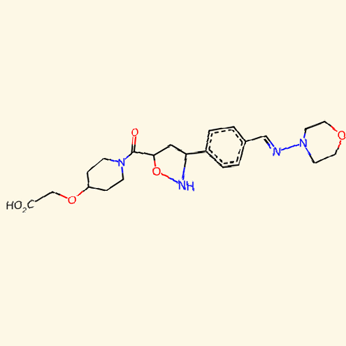 O=C(O)COC1CCN(C(=O)C2CC(c3ccc(C=NN4CCOCC4)cc3)NO2)CC1